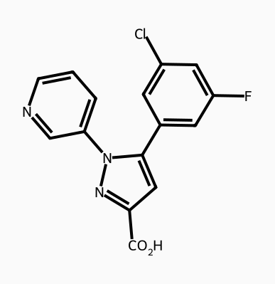 O=C(O)c1cc(-c2cc(F)cc(Cl)c2)n(-c2cccnc2)n1